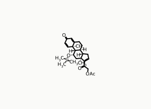 CC(=O)OCC(=O)C1=CC[C@H]2[C@@H]3CCC4=CC(=O)C=C[C@]4(C)[C@H]3[C@@H](O[Si](C)(C)C)C[C@]12C